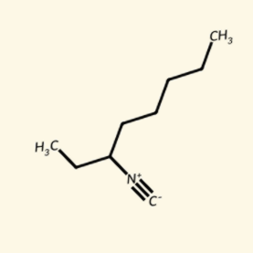 [C-]#[N+]C(CC)CCCCC